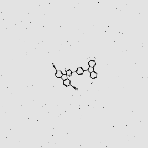 N#Cc1ccc2c(c1)C1(N=CC(c3ccc(-n4c5ccccc5c5ccccc54)cc3)=N1)c1cc(C#N)ccc1-2